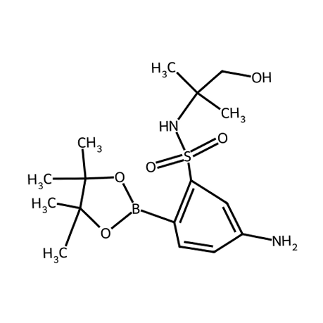 CC(C)(CO)NS(=O)(=O)c1cc(N)ccc1B1OC(C)(C)C(C)(C)O1